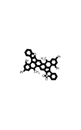 CC(C)c1cc(C(C)C)c2c(c1)C(C)c1c3c(cc4c5c6c(cc14)-c1oc4ccccc4c1C=6c1c(C(C)C)cc(C(C)C)cc1C5C)C1=C(C=32)c2ccccc2S1(=O)=O